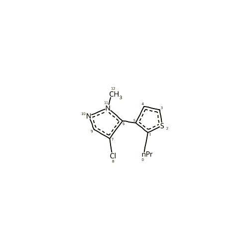 CCCc1sccc1-c1c(Cl)cnn1C